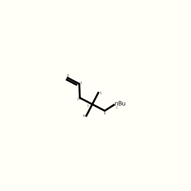 C=C[CH]C(C)(C)CCCCC